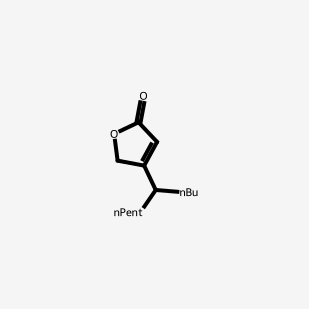 CCCCCC(CCCC)C1=CC(=O)OC1